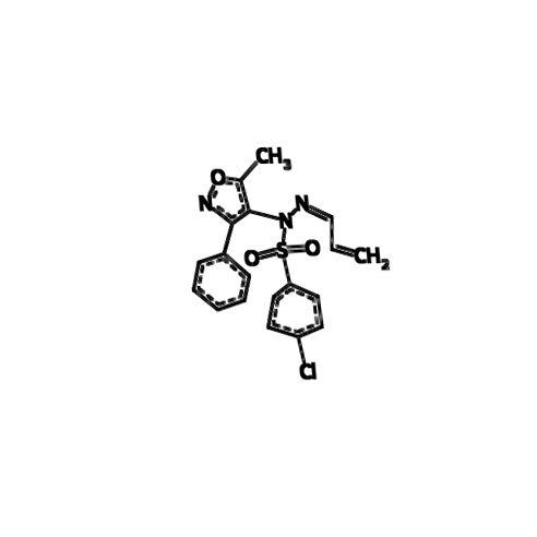 C=C/C=N\N(c1c(-c2ccccc2)noc1C)S(=O)(=O)c1ccc(Cl)cc1